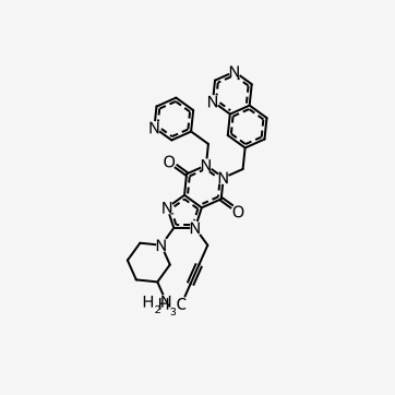 CC#CCn1c(N2CCCC(N)C2)nc2c(=O)n(Cc3cccnc3)n(Cc3ccc4cncnc4c3)c(=O)c21